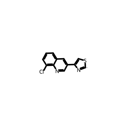 Clc1cccc2cc(-c3cs[c]n3)cnc12